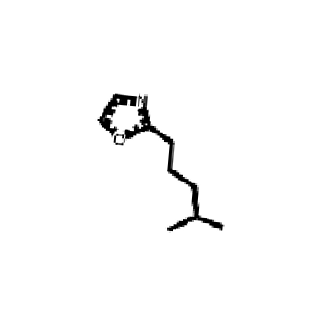 CC(C)CCCc1ncco1